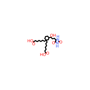 O=C(O)CCCCCCC1(CCCCCCC(=O)O)CCCC(C(O)CCC2NC(=O)NC2=O)C1